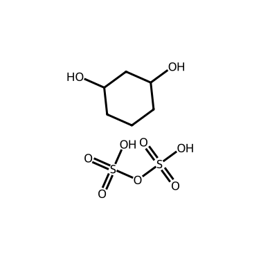 O=S(=O)(O)OS(=O)(=O)O.OC1CCCC(O)C1